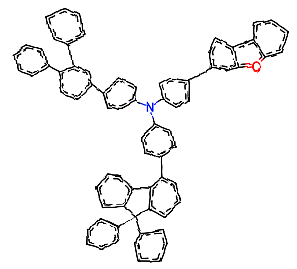 c1ccc(-c2ccc(-c3ccc(N(c4ccc(-c5ccc6c(c5)oc5ccccc56)cc4)c4ccc(-c5cccc6c5-c5ccccc5C6(c5ccccc5)c5ccccc5)cc4)cc3)cc2-c2ccccc2)cc1